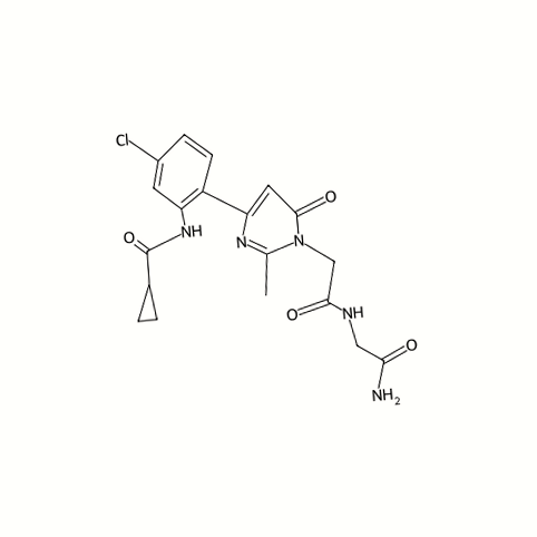 Cc1nc(-c2ccc(Cl)cc2NC(=O)C2CC2)cc(=O)n1CC(=O)NCC(N)=O